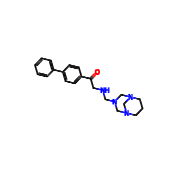 O=C(CNCN1CN2CCCN(C2)C1)c1ccc(-c2ccccc2)cc1